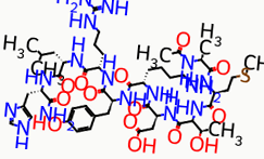 CSCC[C@H](NC(=O)[C@H](C)NC(C)=O)C(=O)N[C@H](C(=O)N[C@@H](CC(=O)O)C(=O)N[C@@H](CCCCN)C(=O)N[C@@H](Cc1ccc(O)cc1)C(=O)N[C@@H](CCCNC(=N)N)C(=O)N[C@@H](CC(C)C)C(=O)N[C@@H](Cc1c[nH]cn1)C(N)=O)[C@@H](C)O